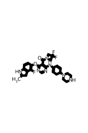 CC1Cc2c(ccc(Oc3ncnc(NC4=CCC(N5CCNCC5)C=C4)c3C(=O)N3CC(F)(F)C3)c2F)N1